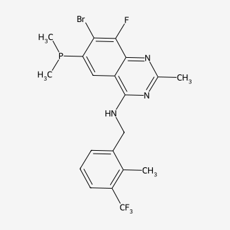 Cc1nc(NCc2cccc(C(F)(F)F)c2C)c2cc(P(C)C)c(Br)c(F)c2n1